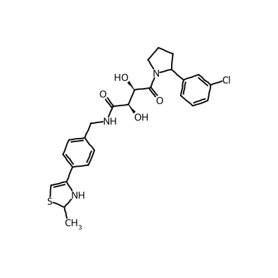 CC1NC(c2ccc(CNC(=O)[C@H](O)[C@@H](O)C(=O)N3CCCC3c3cccc(Cl)c3)cc2)=CS1